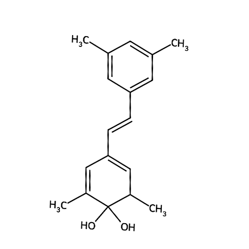 CC1=CC(C=Cc2cc(C)cc(C)c2)=CC(C)C1(O)O